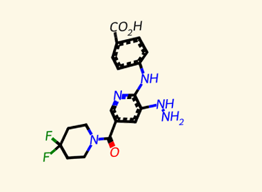 NNc1cc(C(=O)N2CCC(F)(F)CC2)cnc1Nc1ccc(C(=O)O)cc1